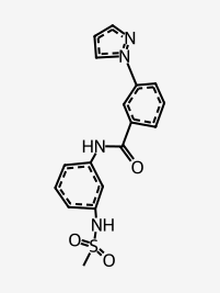 CS(=O)(=O)Nc1cccc(NC(=O)c2cccc(-n3cccn3)c2)c1